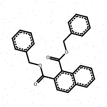 O=C(OCc1ccccc1)c1ccc2ccccc2c1C(=O)OCc1ccccc1